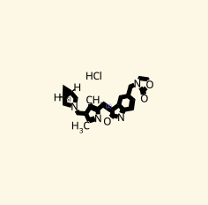 CC1=NC(/C=C2\C(=O)N=C3C=CC(CN4CCOC4=O)CC32)=C(C)C1CN1C[C@H]2C[C@H]2C1.Cl